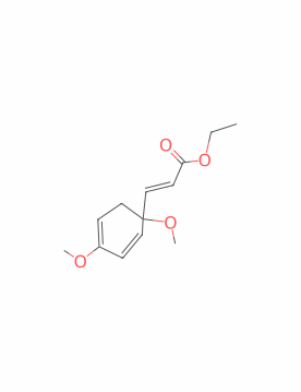 CCOC(=O)C=CC1(OC)C=CC(OC)=CC1